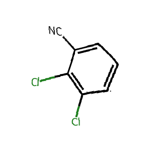 N#Cc1cc[c]c(Cl)c1Cl